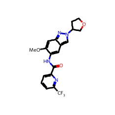 COc1cc2nn(C3CCOC3)cc2cc1NC(=O)c1cccc(C(F)(F)F)n1